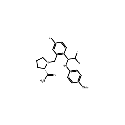 COc1ccc(NC(c2ccc(Cl)cc2CN2CCC[C@H]2C(N)=O)C(F)F)cc1